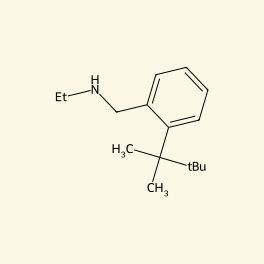 CCNCc1ccccc1C(C)(C)C(C)(C)C